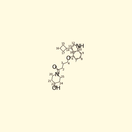 O=C(CCCOc1cccc2[nH]cc(C3CCC3)c12)N1CCC(O)CC1